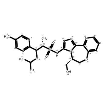 Cc1cnc([C@H](OC(C)C)[C@H](C)S(=O)(=O)Nc2nnc3n2[C@@H](CO)COc2cccnc2-3)nc1